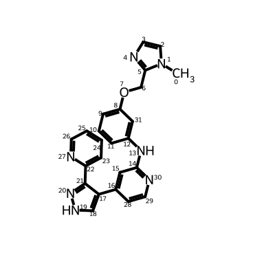 Cn1ccnc1COc1cccc(Nc2cc(-c3c[nH]nc3-c3ccccn3)ccn2)c1